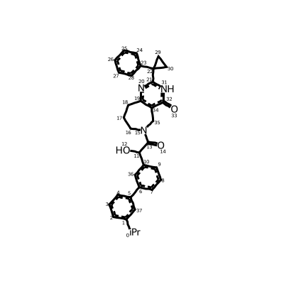 CC(C)c1cccc(-c2cccc(C(O)C(=O)N3CCCc4nc(C5(c6ccccc6)CC5)[nH]c(=O)c4C3)c2)c1